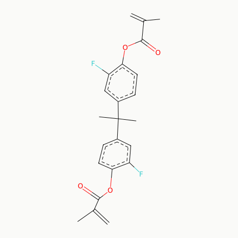 C=C(C)C(=O)Oc1ccc(C(C)(C)c2ccc(OC(=O)C(=C)C)c(F)c2)cc1F